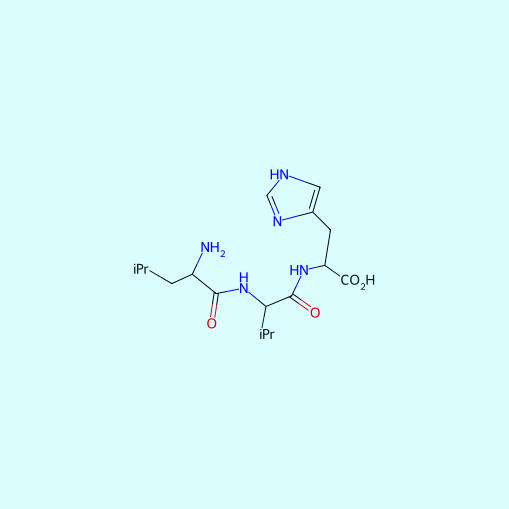 CC(C)CC(N)C(=O)NC(C(=O)NC(Cc1c[nH]cn1)C(=O)O)C(C)C